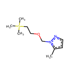 Cc1ccnn1COCCS(C)(C)C